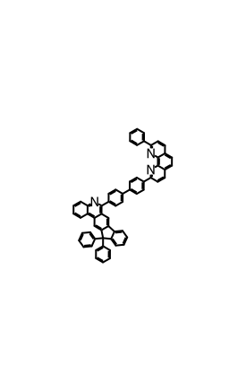 c1ccc(-c2ccc3ccc4ccc(-c5ccc(-c6ccc(-c7nc8ccccc8c8cc9c(cc78)-c7ccccc7C9(c7ccccc7)c7ccccc7)cc6)cc5)nc4c3n2)cc1